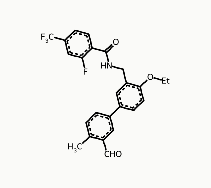 CCOc1ccc(-c2ccc(C)c(C=O)c2)cc1CNC(=O)c1ccc(C(F)(F)F)cc1F